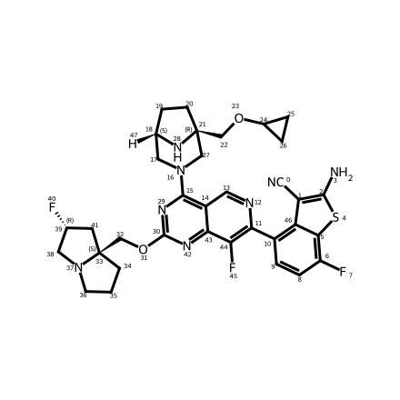 N#Cc1c(N)sc2c(F)ccc(-c3ncc4c(N5C[C@@H]6CC[C@](COC7CC7)(C5)N6)nc(OC[C@@]56CCCN5C[C@H](F)C6)nc4c3F)c12